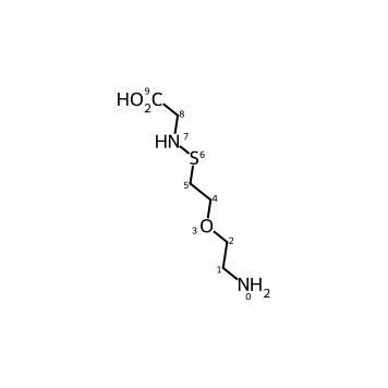 NCCOCCSNCC(=O)O